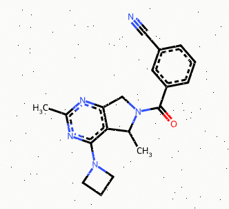 Cc1nc2c(c(N3CCC3)n1)C(C)N(C(=O)c1cccc(C#N)c1)C2